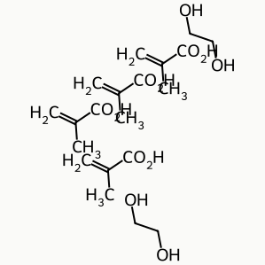 C=C(C)C(=O)O.C=C(C)C(=O)O.C=C(C)C(=O)O.C=C(C)C(=O)O.OCCO.OCCO